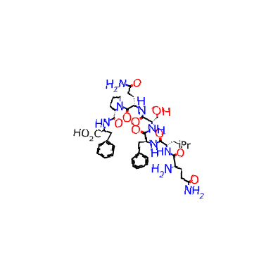 CC(C)C[C@H](NC(=O)[C@@H](N)CCC(N)=O)C(=O)N[C@@H](Cc1ccccc1)C(=O)N[C@@H](CO)C(=O)N[C@@H](CCC(N)=O)C(=O)N1CCC[C@H]1C(=O)N[C@@H](Cc1ccccc1)C(=O)O